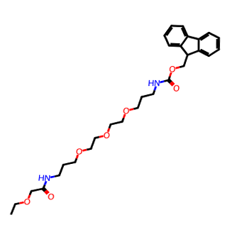 CCOCC(=O)NCCCOCCOCCOCCCNC(=O)OCC1c2ccccc2-c2ccccc21